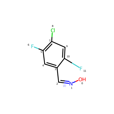 O/N=C\c1cc(F)c(Cl)cc1F